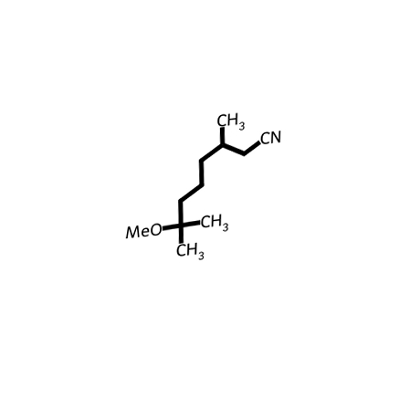 COC(C)(C)CCCC(C)CC#N